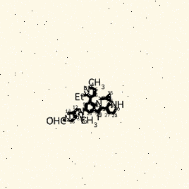 CCc1nc(C)ccc1-c1cc(N2CC3=C(CN(C=O)C3)N2C)cc2c(F)c(C3=CCCNC3)n(CC3CC3)c12